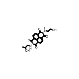 CC(O)CNN1C(=O)c2ccc3c4c(ccc(c24)C1=O)C(=O)N(NCCO)C3=O